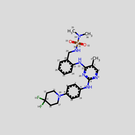 Cc1cnc(Nc2ccc(N3CCC(F)(F)CC3)cc2)nc1Nc1ccccc1CNS(=O)(=O)N(C)C